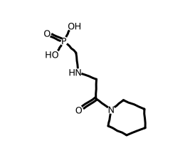 O=C(CNCP(=O)(O)O)N1CCCCC1